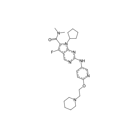 CN(C)C(=O)c1c(F)c2cnc(Nc3ccc(OCCN4CCCCC4)nc3)nc2n1C1CCCC1